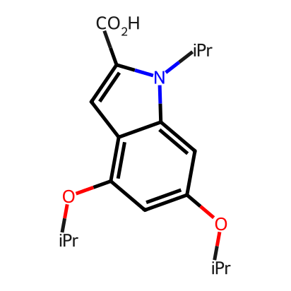 CC(C)Oc1cc(OC(C)C)c2cc(C(=O)O)n(C(C)C)c2c1